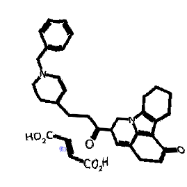 O=C(O)/C=C/C(=O)O.O=C1CCC2=CC(C(=O)CCC3CCN(Cc4ccccc4)CC3)Cn3c4c(c1c32)CCCC4